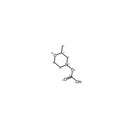 CC1CN(OC(=O)O)CCO1